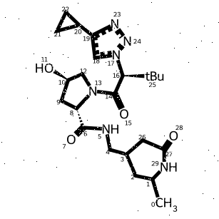 CC1CC(CNC(=O)[C@@H]2C[C@@H](O)CN2C(=O)[C@@H](n2cc(C3CC3)nn2)C(C)(C)C)CC(=O)N1